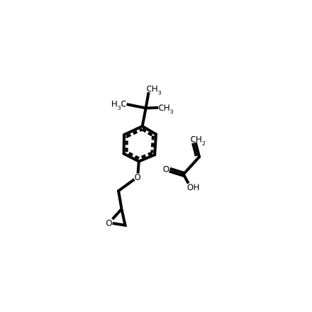 C=CC(=O)O.CC(C)(C)c1ccc(OCC2CO2)cc1